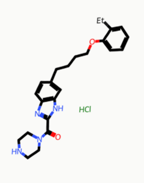 CCc1ccccc1OCCCCc1ccc2nc(C(=O)N3CCNCC3)[nH]c2c1.Cl